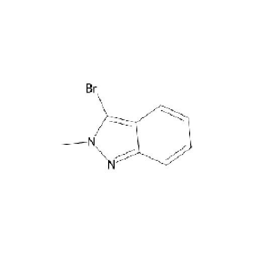 Cn1nc2ccccc2c1Br